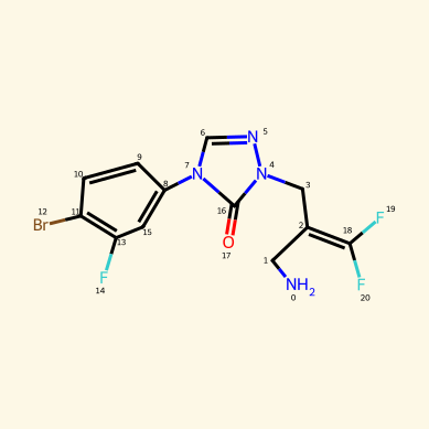 NCC(Cn1ncn(-c2ccc(Br)c(F)c2)c1=O)=C(F)F